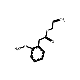 C=CCOC(=O)Cc1ccccc1OC